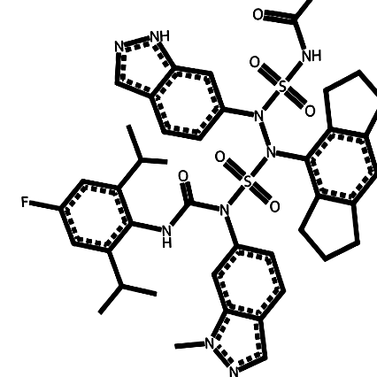 CC(C)c1cc(F)cc(C(C)C)c1NC(=O)N(c1ccc2cnn(C)c2c1)S(=O)(=O)N(c1c2c(cc3c1CCC3)CCC2)N(c1ccc2cn[nH]c2c1)S(=O)(=O)NC(N)=O